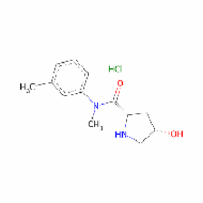 Cc1cccc(N(C)C(=O)[C@@H]2C[C@H](O)CN2)c1.Cl